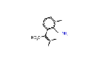 CC(C)=C(C(=O)O)c1cccc(C)c1C.N